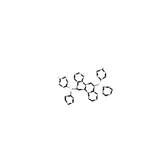 Fc1ccc(N(c2ccccc2)c2cc3c4ccccc4c(N(c4ccccc4)c4ccc(F)cc4)cc3c3ccccc23)cc1